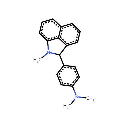 CN(C)c1ccc(C2c3cccc4cccc(c34)N2C)cc1